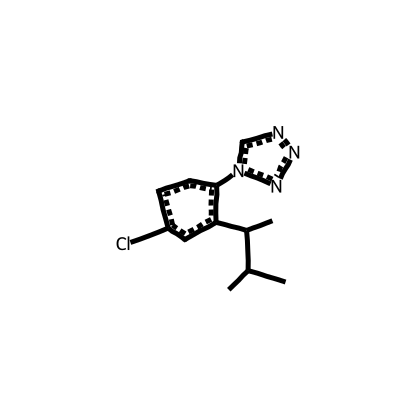 CC(C)C(C)c1cc(Cl)ccc1-n1cnnn1